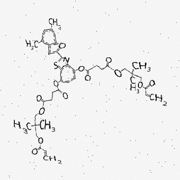 C=CC(=O)OCC(C)(C)COC(=O)CCC(=O)Oc1ccc(OC(=O)CCC(=O)OCC(C)(C)COC(=O)C=C)c2sc(-c3cc4c(C)cc(C)cc4o3)nc12